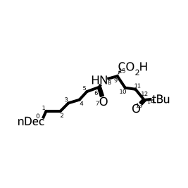 CCCCCCCCCCCCCCCC(=O)N[C@@H](CCC(=O)C(C)(C)C)C(=O)O